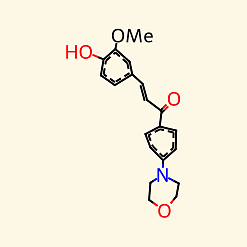 COc1cc(/C=C/C(=O)c2ccc(N3CCOCC3)cc2)ccc1O